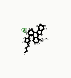 CCCCC1=CC(c2cccc3c4c(c5[c]([Zr+2])cccc5c23)Cc2ccccc2-4)C=C1.[Cl-].[Cl-]